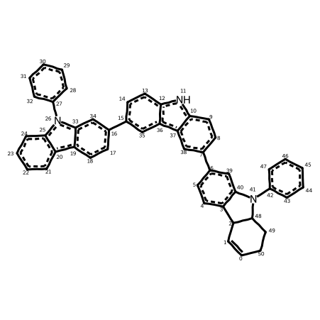 C1=CC2c3ccc(-c4ccc5[nH]c6ccc(-c7ccc8c9ccccc9n(-c9ccccc9)c8c7)cc6c5c4)cc3N(c3ccccc3)C2CC1